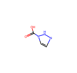 O=C(O)N1C=C[N]N1